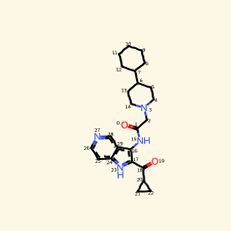 O=C(CN1CCC(C2CCCCC2)CC1)Nc1c(C(=O)C2CC2)[nH]c2ccncc12